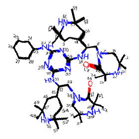 CC1(C)CC(C(CN2CC(C)(C)NC(C)(C)C2=O)Nc2nc(NC3CCCCC3)nc(NC(CN3CC(C)(C)NC(C)(C)C3=O)C3CC(C)(C)NC(C)(C)C3)n2)CC(C)(C)N1